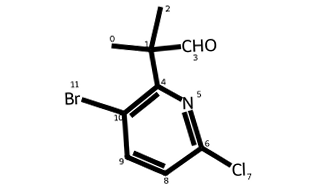 CC(C)(C=O)c1nc(Cl)ccc1Br